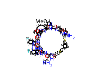 COc1ccc(C[C@@H]2NC(=O)[C@@H]3CCC/C=C\CO[C@@H]4C[C@@H](C(=O)N3)N(C4)C(=O)[C@H](Cc3c[nH]c4ccc(F)cc34)NC(=O)[C@H](Cc3c[nH]c4ccc(F)cc34)NC(=O)[C@@H](C)NC(=O)[C@H](CCCCN)NC(=O)CCSCc3cccc(c3)CSC[C@@H](C(N)=O)NC(=O)[C@]3(C)CCCN3C2=O)cc1